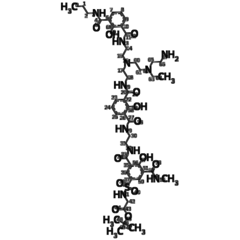 CCCNC(=O)c1cccc(C(=O)NCCN(CCNC(=O)c2cccc(C(=O)NCCNC(=O)c3cc(S(=O)(=O)NCC(=O)OC(C)(C)C)cc(C(=O)NC)c3O)c2O)CCN(CC)CCN)c1O